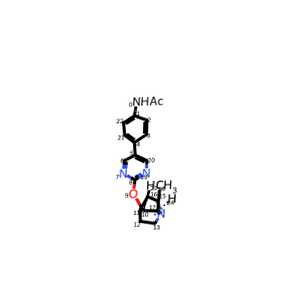 CC(=O)Nc1ccc(-c2cnc(O[C@H]3C4CCN(CC4)[C@@H]3C)nc2)cc1